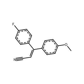 COc1ccc(/C(=C/C#N)c2ccc(F)cc2)cc1